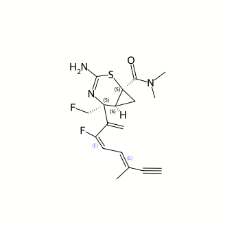 C#C/C(C)=C/C=C(/F)C(=C)[C@@]1(CF)N=C(N)S[C@@]2(C(=O)N(C)C)C[C@@H]12